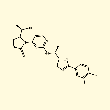 Cc1cc(-c2noc([C@H](C)Nc3nccc(N4C(=O)OCC4[C@@H](C)O)n3)n2)ccc1F